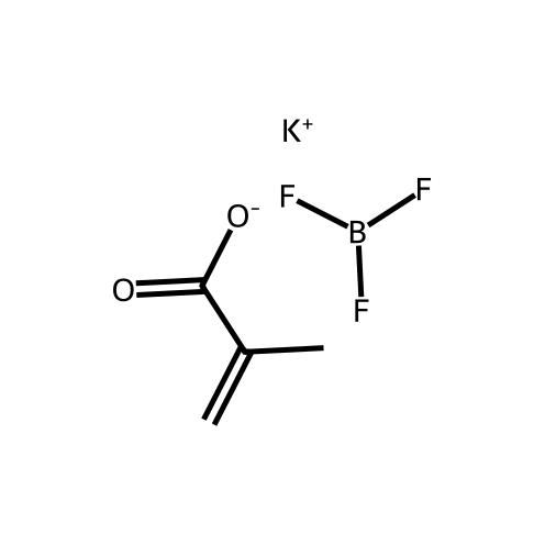 C=C(C)C(=O)[O-].FB(F)F.[K+]